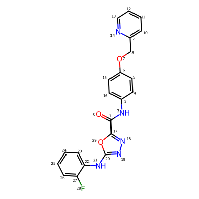 O=C(Nc1ccc(OCc2ccccn2)cc1)c1nnc(Nc2ccccc2F)o1